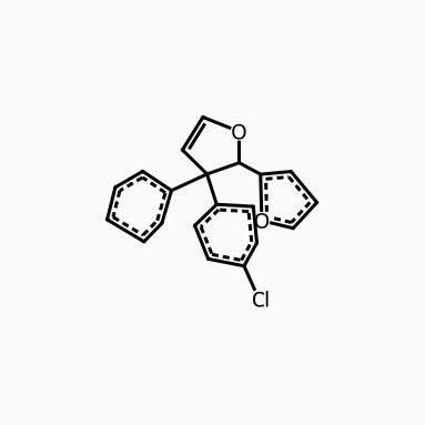 Clc1ccc(C2(c3ccccc3)C=COC2c2ccco2)cc1